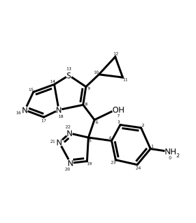 Nc1ccc(C2(C(O)c3c(C4CC4)sc4cncn34)C=NN=N2)cc1